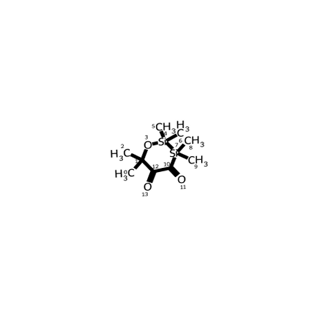 CC1(C)O[Si](C)(C)[Si](C)(C)C(=O)C1=O